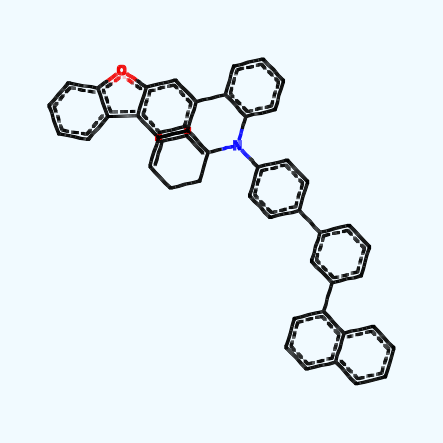 c1c(-c2ccccc2N(C2=CC=CCC2)c2ccc(-c3cccc(-c4cccc5ccccc45)c3)cc2)cc2oc3ccccc3c2c#1